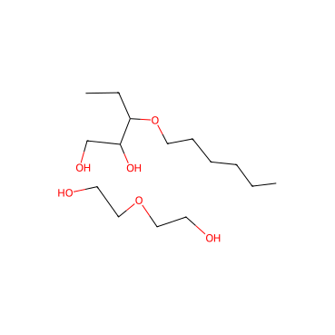 CCCCCCOC(CC)C(O)CO.OCCOCCO